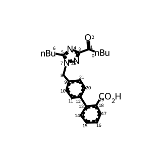 CCCCC(=O)c1nc(CCCC)n(Cc2ccc(-c3ccccc3C(=O)O)cc2)n1